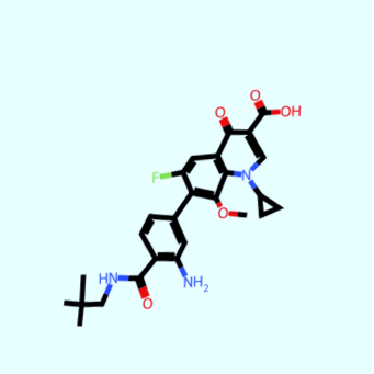 COc1c(-c2ccc(C(=O)NCC(C)(C)C)c(N)c2)c(F)cc2c(=O)c(C(=O)O)cn(C3CC3)c12